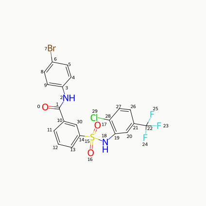 O=C(Nc1ccc(Br)cc1)c1cccc(S(=O)(=O)Nc2cc(C(F)(F)F)ccc2Cl)c1